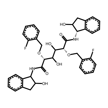 O=C(NC1c2ccccc2CC1O)[C@H](OCc1ccccc1F)C(O)C(O)[C@@H](OCc1ccccc1F)C(=O)N[C@H]1c2ccccc2CC1O